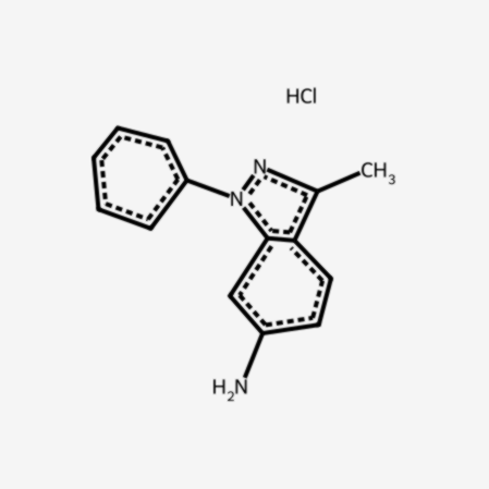 Cc1nn(-c2ccccc2)c2cc(N)ccc12.Cl